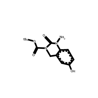 CC(C)(C)OC(=O)N1Cc2cc(O)ccc2N(N)C1=O